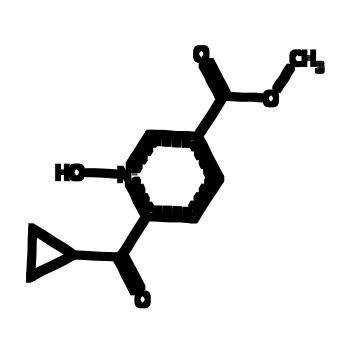 COC(=O)c1ccc(C(=O)C2CC2)[n+](O)c1